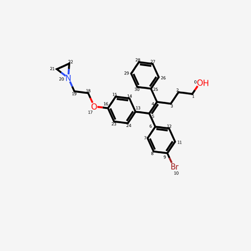 OCCC/C(=C(\c1ccc(Br)cc1)c1ccc(OCCN2CC2)cc1)c1ccccc1